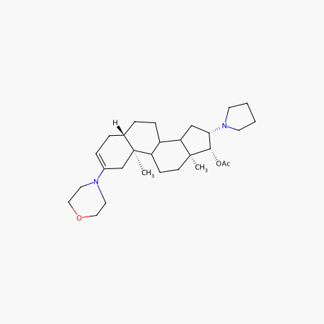 CC(=O)O[C@H]1[C@@H](N2CCCC2)CC2C3CC[C@H]4CC=C(N5CCOCC5)C[C@]4(C)C3CC[C@@]21C